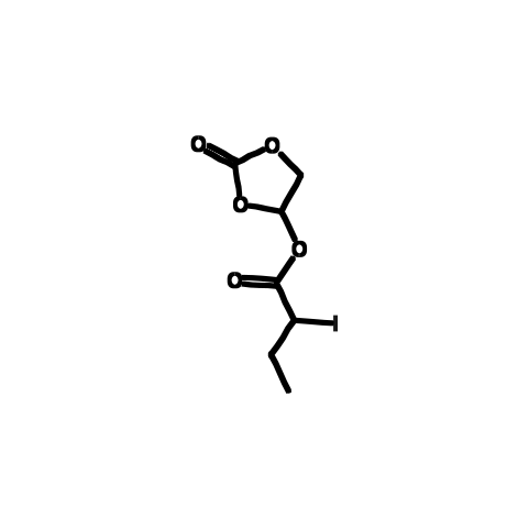 CCC(I)C(=O)OC1COC(=O)O1